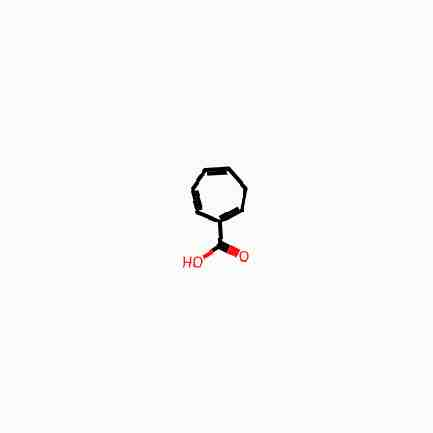 O=C(O)C1=CCC=CC=C1